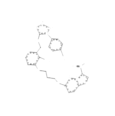 Cc1c(SCCCSc2ccc3ncc([N+](=O)[O-])n3n2)ccnc1CSc1nnnn1-c1ccc(O)cc1